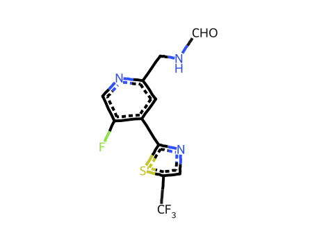 O=CNCc1cc(-c2ncc(C(F)(F)F)s2)c(F)cn1